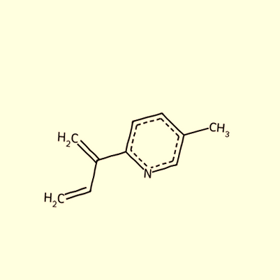 C=CC(=C)c1ccc(C)cn1